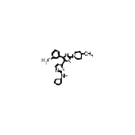 Cc1cccc(-c2nc(N3CCC(C)CC3)sc2-c2ccnc(NC3CCCC3)n2)c1